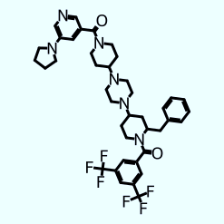 O=C(c1cncc(N2CCCC2)c1)N1CCC(N2CCN(C3CCN(C(=O)c4cc(C(F)(F)F)cc(C(F)(F)F)c4)C(Cc4ccccc4)C3)CC2)CC1